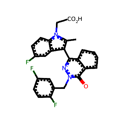 Cc1c(-c2nn(Cc3cc(F)ccc3F)c(=O)c3ccccc23)c2cc(F)ccc2n1CC(=O)O